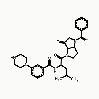 CC(C)CC(NC(=O)c1cccc(N2CCNCC2)c1)C(=O)N1CCC2C1C(=O)CN2C(=O)c1ccccc1